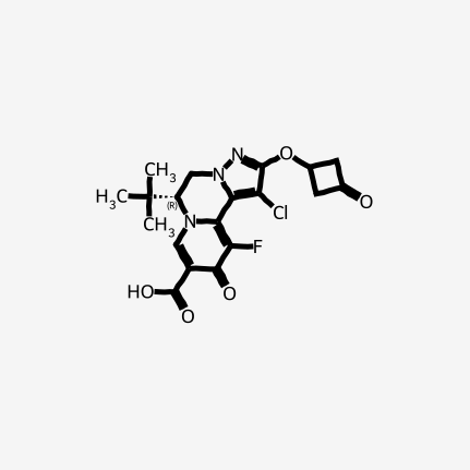 CC(C)(C)[C@@H]1Cn2nc(OC3CC(=O)C3)c(Cl)c2-c2c(F)c(=O)c(C(=O)O)cn21